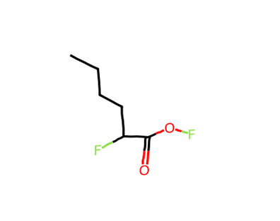 CCCCC(F)C(=O)OF